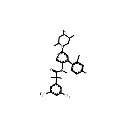 Cc1cc(F)ccc1-c1cc(N2CC(C)NCC2C)ncc1N(C)C(=O)C(C)(C)c1cc(C(F)(F)F)cc(C(F)(F)F)c1